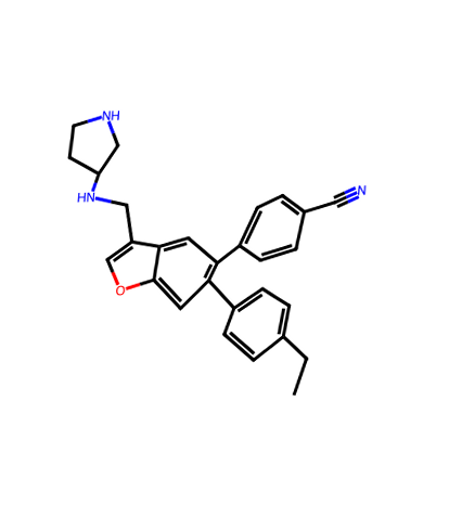 CCc1ccc(-c2cc3occ(CNC4CCNC4)c3cc2-c2ccc(C#N)cc2)cc1